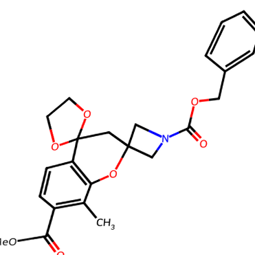 COC(=O)c1ccc2c(c1C)OC1(CN(C(=O)OCc3ccccc3)C1)CC21OCCO1